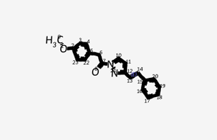 COc1ccc(CC(=O)n2ccc(/C=C/c3ccccc3)n2)cc1